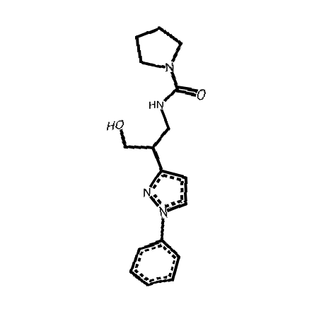 O=C(NCC(CO)c1ccn(-c2ccccc2)n1)N1CCCC1